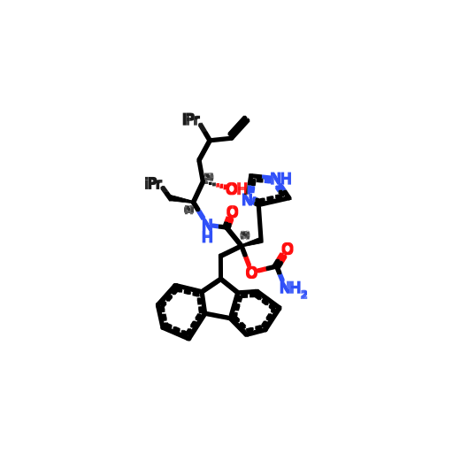 C=CC(C[C@H](O)[C@H](CC(C)C)NC(=O)[C@@](Cc1c[nH]cn1)(CC1c2ccccc2-c2ccccc21)OC(N)=O)C(C)C